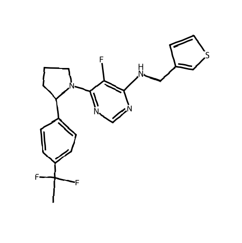 CC(F)(F)c1ccc(C2CCCN2c2ncnc(NCc3ccsc3)c2F)cc1